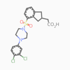 O=C(O)CC1Cc2cccc(S(=O)(=O)N3CCN(c4ccc(Cl)c(Cl)c4)CC3)c2C1